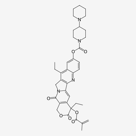 C=C(C)C(=O)OC1(CC)C(=O)OCc2c1cc1n(c2=O)Cc2c-1nc1ccc(OC(=O)N3CCC(N4CCCCC4)CC3)cc1c2CC